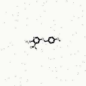 COc1ccc(COc2cnc(N)c([P](C)=O)c2)cc1